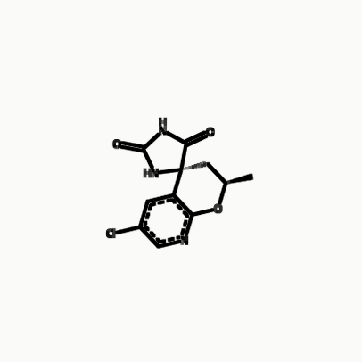 C[C@@H]1C[C@@]2(NC(=O)NC2=O)c2cc(Cl)cnc2O1